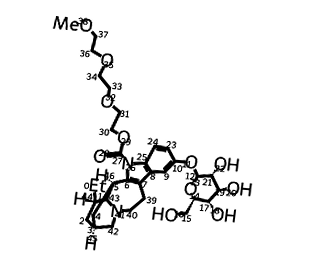 CC[C@H]1C[C@H]2C[C@H]3c4c(c5cc(OC6O[C@H](CO)[C@@H](O)[C@H](O)[C@H]6O)ccc5n4C(=O)OCCOCCOCCOC)CCN(C2)C13